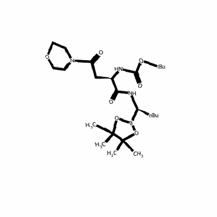 CCCC[C@H](NC(=O)[C@@H](CC(=O)N1CCOCC1)NC(=O)OC(C)(C)C)B1OC(C)(C)C(C)(C)O1